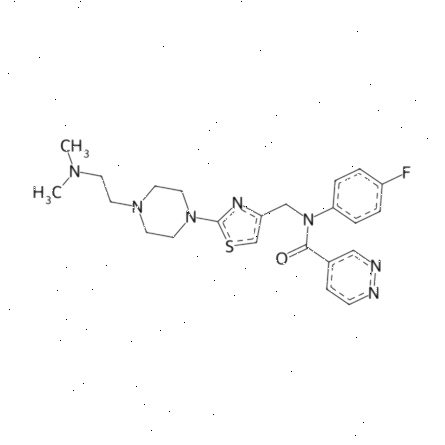 CN(C)CCN1CCN(c2nc(CN(C(=O)c3ccnnc3)c3ccc(F)cc3)cs2)CC1